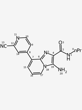 CCCNC(=O)c1nc2c(-c3ccnc(C#N)c3)cccn2c1N